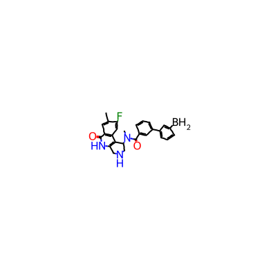 Bc1cccc(-c2cccc(C(=O)N(C)C3CNCc4[nH]c(=O)c5cc(C)c(F)cc5c43)c2)c1